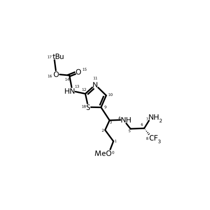 COCCC(NC[C@H](N)C(F)(F)F)c1cnc(NC(=O)OC(C)(C)C)s1